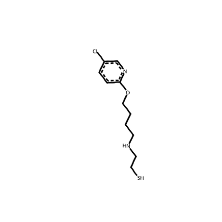 SCCNCCCCOc1ccc(Cl)cn1